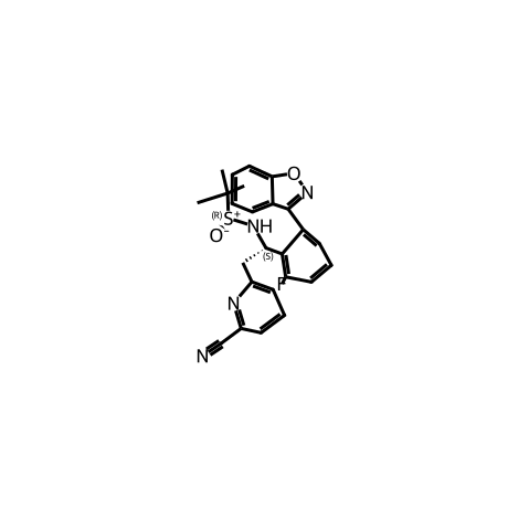 CC(C)(C)[S@+]([O-])N[C@@H](Cc1cccc(C#N)n1)c1c(F)cccc1-c1noc2ccccc12